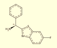 N[C@@H](c1ccccc1)c1nc2ccc(F)cc2s1